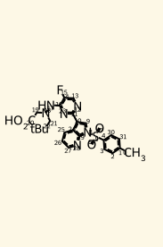 Cc1ccc(S(=O)(=O)n2cc(-c3ncc(F)c(NN(CC(=O)O)CC(C)(C)C)n3)c3cccnc32)cc1